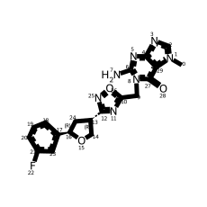 Cn1cnc2nc(N)n(Cc3nc([C@@H]4CO[C@@H](c5cccc(F)c5)C4)no3)c(=O)c21